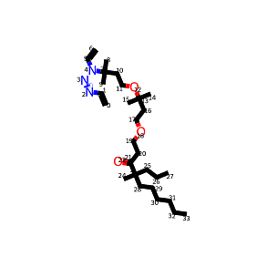 C=C/N=N\N(C=C)C(C)(C)CCOC(C)(C)CCOCCC(=O)C(C)(CCC)CCCCCC